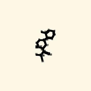 Cc1ccccc1N1CCNC(C(=O)N(C)C)C1